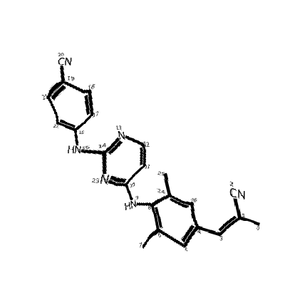 C/C(C#N)=C/c1cc(C)c(Nc2ccnc(Nc3ccc(C#N)cc3)n2)c(C)c1